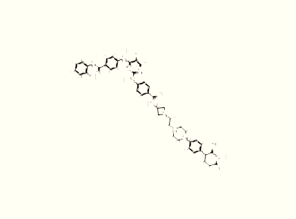 O=C1CCC(c2ccc(N3CCN(CCN4CC(NC(=O)c5ccc(Nc6ncc(F)c(Nc7ccc(C(=O)Nc8ccccc8Cl)cc7)n6)cc5)C4)CC3)cc2)C(=O)N1